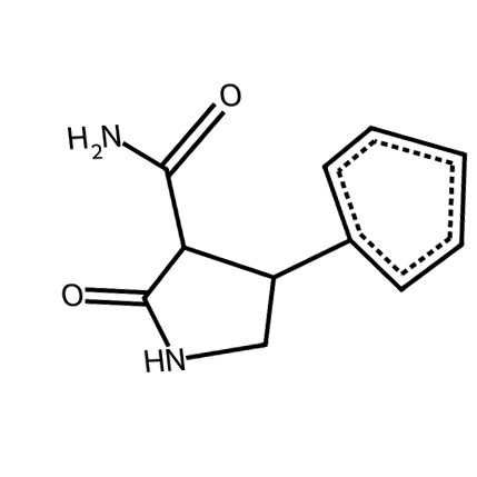 NC(=O)C1C(=O)NCC1c1ccccc1